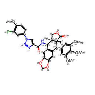 COc1ccc(-n2cc(C(=O)N[C@@H]3c4cc5c(cc4[C@@H](c4cc(OC)c(OC)c(OC)c4)[C@H]4C(=O)OC[C@@H]43)OCO5)nn2)cc1F